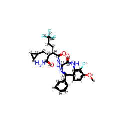 COc1ccc2c(c1F)NC(=O)[C@@H](NC(=O)[C@H](CCC(F)(F)F)[C@H](CC1CC1)C(N)=O)N=C2c1ccccc1